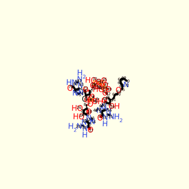 CO[C@@H]1[C@H](OP(=O)(O)OC[C@H]2O[C@@H](n3cnc4c(=O)[nH]c(N)nc43)[C@H](O)[C@@H]2O)[C@@H](COP(=O)(O)OP(=O)(O)OP(=O)(O)OC[C@H]2OC(n3c[n+](C)c4c(=O)[nH]c(N)nc43)[C@H](O)[C@@H]2CCCOCc2ccccn2)O[C@H]1n1cnc2c(=O)[nH]c(N)nc21